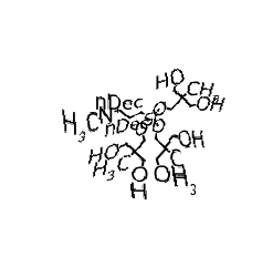 CCCCCCCCCC[N+](C)(CCCCCCCCCC)CCC[Si](OCC(C)(CO)CO)(OCC(C)(CO)CO)OCC(C)(CO)CO